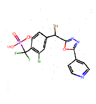 O=P(O)(O)C(F)(F)c1ccc(C(S)c2nnc(-c3ccncc3)o2)cc1Br